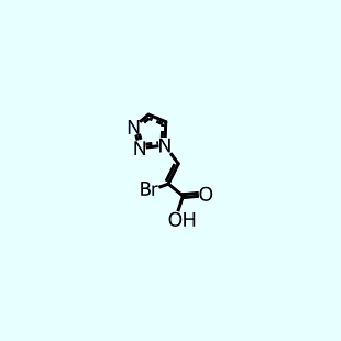 O=C(O)C(Br)=Cn1ccnn1